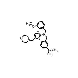 COc1cccc(CN(Cc2cccc(N(C)C)c2)c2nc(CN3CCOCC3)co2)c1